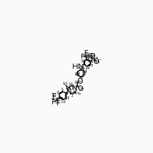 C[C@@H]1CN(c2ccc(C(F)(F)F)cc2)[C@@H](C)CN1C(=O)COC1CCC(Nc2ccc([N+](=O)[O-])c(C(F)(F)F)c2)CC1